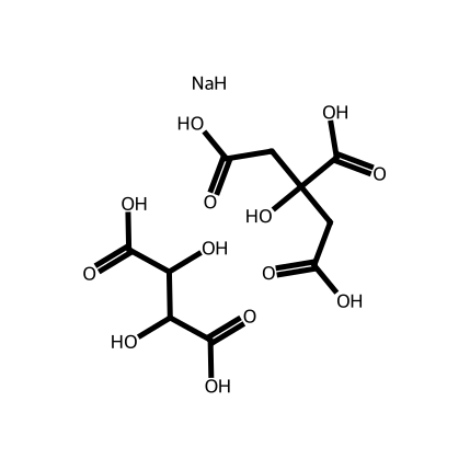 O=C(O)C(O)C(O)C(=O)O.O=C(O)CC(O)(CC(=O)O)C(=O)O.[NaH]